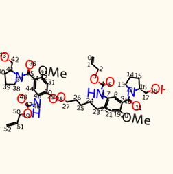 C=CCOC(=O)Nc1cc(C(=O)N2CCC[C@H]2CO)c(OC)cc1CCCCCOOc1cc(OC)c(C(=O)N2CCC[C@H]2CO)cc1NC(=O)OCC=C